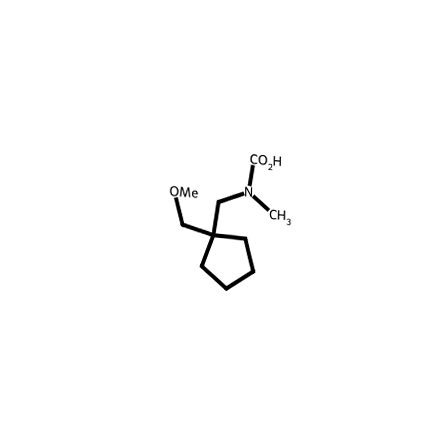 COCC1(CN(C)C(=O)O)CCCC1